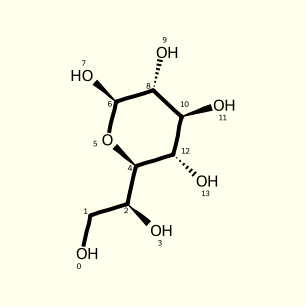 OC[C@H](O)[C@H]1O[C@@H](O)[C@H](O)[C@@H](O)[C@@H]1O